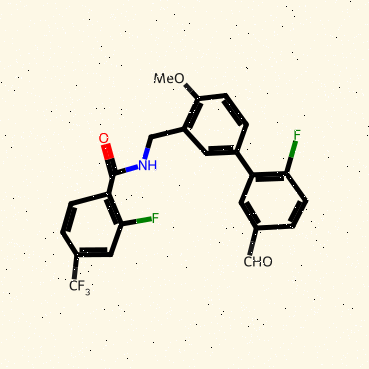 COc1ccc(-c2cc(C=O)ccc2F)cc1CNC(=O)c1ccc(C(F)(F)F)cc1F